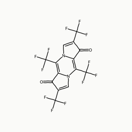 O=c1c(C(F)(F)F)cn2c(C(F)(F)F)c3c(=O)c(C(F)(F)F)cn3c(C(F)(F)F)c12